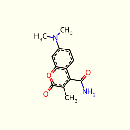 Cc1c(C(N)=O)c2ccc(N(C)C)cc2oc1=O